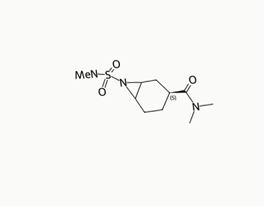 CNS(=O)(=O)N1C2CC[C@H](C(=O)N(C)C)CC21